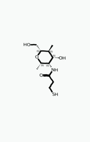 C[C@H]1[C@H](O)[C@H](NC(=O)CCS)[C@H](C)O[C@@H]1CO